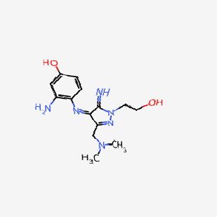 CN(C)CC1=NN(CCO)C(=N)C1=Nc1ccc(O)cc1N